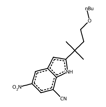 CCCCOCCC(C)(C)c1cc2cc([N+](=O)[O-])cc(C#N)c2[nH]1